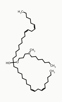 CCCCC/C=C\C/C=C\CCCCCCCCC(O)(CCCCCCCC/C=C\C/C=C\CCCCC)OCCCN(C)CCCCCCC